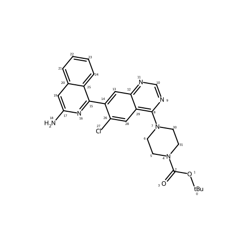 CC(C)(C)OC(=O)N1CCN(c2ncnc3cc(-c4nc(N)cc5ccccc45)c(Cl)cc23)CC1